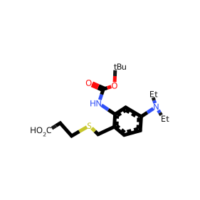 CCN(CC)c1ccc(CSCCC(=O)O)c(NC(=O)OC(C)(C)C)c1